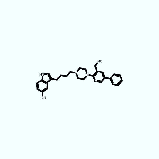 N#Cc1ccc2[nH]cc(CCCCN3CCN(c4ncc(-c5ccccc5)cc4CN=O)CC3)c2c1